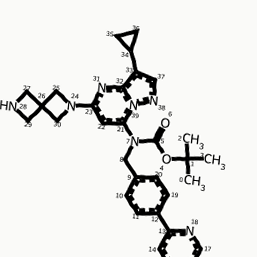 CC(C)(C)OC(=O)N(Cc1ccc(-c2ccccn2)cc1)c1cc(N2CC3(CNC3)C2)nc2c(C3CC3)cnn12